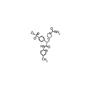 Cc1ccc(NC(=O)C(C[C@H]2CCN(C(N)=O)C2)c2ccc(S(=O)(=O)C3CC3)cc2)nc1